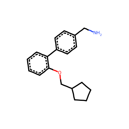 NCc1ccc(-c2ccccc2OCC2CCCC2)cc1